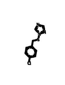 Clc1ccc(CSn2cncn2)cc1